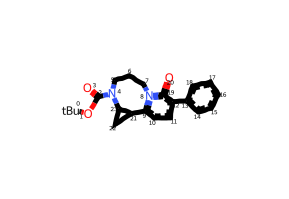 CC(C)(C)OC(=O)N1CCCn2c(ccc(-c3ccccc3)c2=O)C2CC21